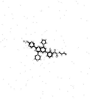 Nc1ncc(-c2nc(N3CCOCC3)c3cc(-c4cccc(N[S+]([O-])CCCF)c4F)cc(N4CCCC4)c3n2)cn1